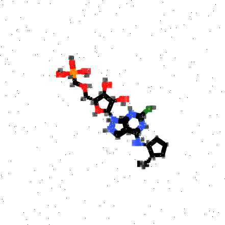 C[C@H]1CCC[C@H]1Nc1nc(Cl)nc2c1cnn2[C@@H]1O[C@H](COCP(=O)(O)O)[C@@H](O)[C@H]1O